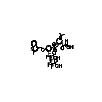 Cc1cc(COc2ccc(S(=O)(=O)C[C@@H]3CCN(C(C)C)C[C@@H]3C(=O)NO)cc2)c2ccccc2n1.O=C(O)C(F)(F)F.O=C(O)C(F)(F)F